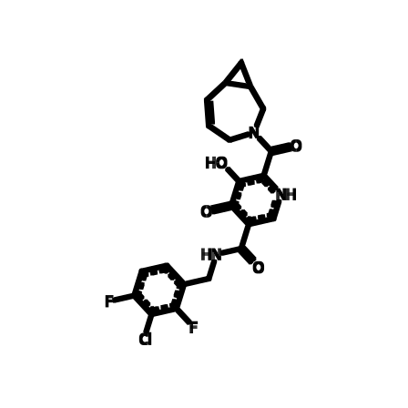 O=C(NCc1ccc(F)c(Cl)c1F)c1c[nH]c(C(=O)N2CC=CC3CC3C2)c(O)c1=O